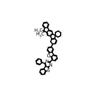 CC1(C)c2ccccc2-c2cc3c(cc21)C1=C(C=CC(c2ccc4oc5c(-c6nc(-c7ccccc7)c7c(n6)sc6ccccc67)cccc5c4c2)C1)C31CCCCC1